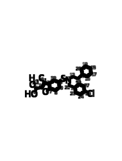 Cc1c(C(=O)O)oc2ccc(SN(CCc3ccccc3)Cc3ccc(Cl)cc3)cc12